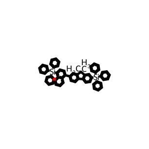 CC1(C)c2cc(-c3ccc([Si](c4ccccc4)(c4ccccc4)c4ccccc4)c4ccccc34)ccc2-c2ccc([Si](c3ccccc3)(c3ccccc3)c3ccccc3)cc21